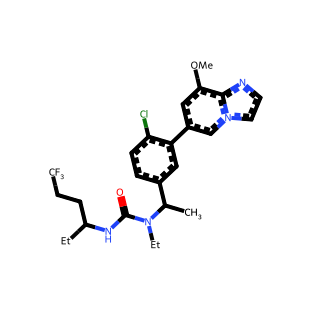 CCC(CCC(F)(F)F)NC(=O)N(CC)C(C)c1ccc(Cl)c(-c2cc(OC)c3nccn3c2)c1